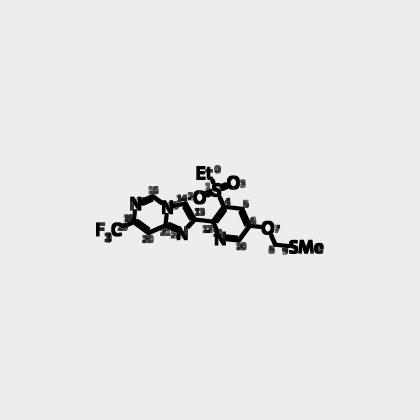 CCS(=O)(=O)c1cc(OCSC)cnc1-c1cn2cnc(C(F)(F)F)cc2n1